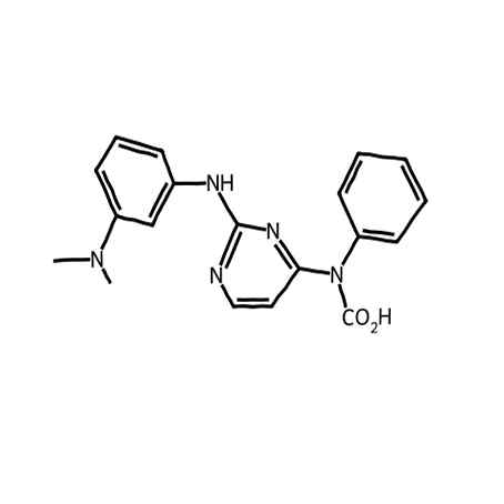 CN(C)c1cccc(Nc2nccc(N(C(=O)O)c3ccccc3)n2)c1